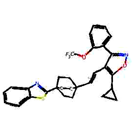 FC(F)(F)Oc1ccccc1-c1noc(C2CC2)c1/C=C/C12CCC(c3nc4ccccc4s3)(CC1)CC2